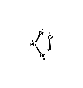 [Br][Pb][Br].[CH3][Cs]